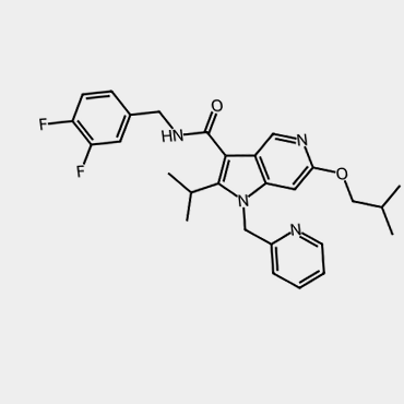 CC(C)COc1cc2c(cn1)c(C(=O)NCc1ccc(F)c(F)c1)c(C(C)C)n2Cc1ccccn1